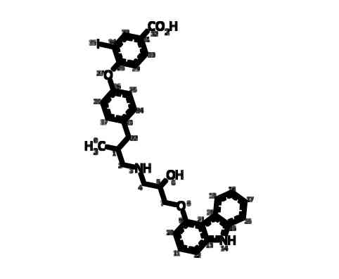 CC(CNCC(O)COc1cccc2[nH]c3ccccc3c12)Cc1ccc(Oc2ccc(C(=O)O)cc2I)cc1